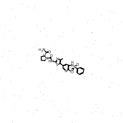 Cc1nc(NC(=O)N2CCC[C@H]2C(N)=O)sc1-c1cnc(Cl)c(NS(=O)(=O)c2ccccc2)c1